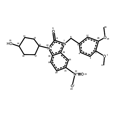 COc1ccc(Cn2c(=O)n(C3CCC(O)CC3)c3ccc([N+](=O)[O-])cc32)cc1OC